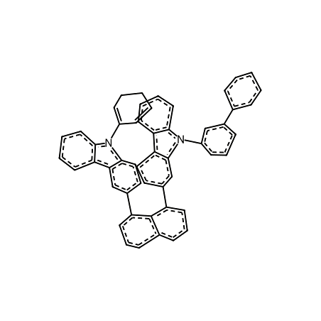 C1=CC(n2c3ccccc3c3cc(-c4cccc5cccc(-c6ccc7c8ccccc8n(-c8cccc(-c9ccccc9)c8)c7c6)c45)ccc32)=CCC1